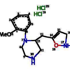 COc1ccccc1N1CCNCC1CC1=CCNO1.Cl.Cl